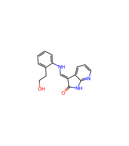 O=C1Nc2ncccc2/C1=C\Nc1ccccc1CCO